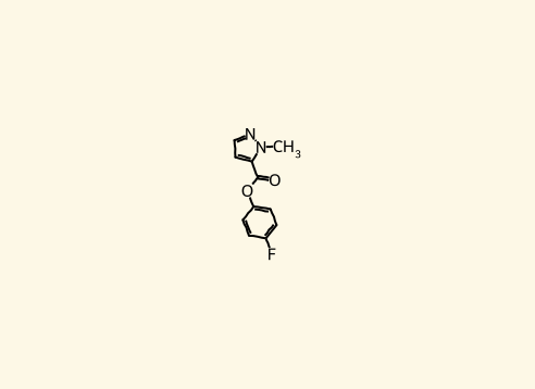 Cn1nccc1C(=O)Oc1ccc(F)cc1